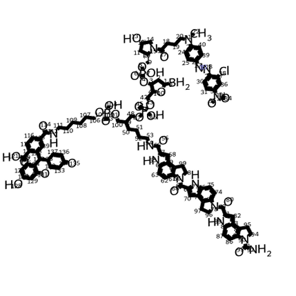 BC1CC(OP(=O)(O)OC[C@@H]2C[C@H](O)CN2C(=O)CCCN(C)c2ccc(/N=N/c3ccc([N+](=O)[O-])cc3Cl)cc2)C(COP(=O)(O)OCC(CCCCNC(=O)c2cc3c4c(ccc3[nH]2)N(C(=O)c2cc3c5c(ccc3[nH]2)N(C(=O)c2cc3c6c(ccc3[nH]2)N(C(N)=O)CC6)CC5)CC4)COP(=O)(O)OCCCCCCNC(=O)c2ccc(C(=O)O)c(C3c4ccc(O)cc4OC4=CC(=O)C=CC43)c2)O1